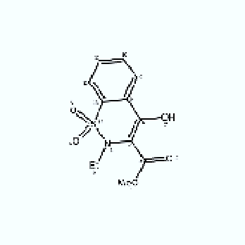 CCN1C(C(=O)OC)=C(O)c2ccccc2S1(=O)=O